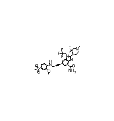 COc1cc(S(C)(=O)=O)ccc1NCC#Cc1cc(C(N)=O)c2nc([C@@H]3CCN(C)C[C@@]3(C)F)n(CC(F)(F)F)c2c1